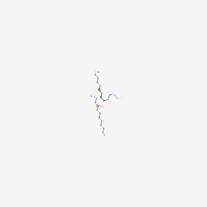 CCCCCCCCCCCCCCCCCC(CCN(C(C)C)C(C)C)OC(CCCCCCCCCCCCCCCCC)CCN(C(C)C)C(C)C